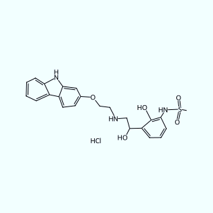 CS(=O)(=O)Nc1cccc(C(O)CNCCOc2ccc3c(c2)[nH]c2ccccc23)c1O.Cl